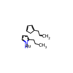 C=CCC1=CC=CC1.CCCc1ccc[nH]1.[Ru]